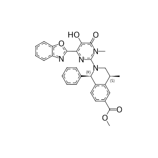 COC(=O)c1ccc2c(c1)[C@H](C)CN(c1nc(-c3nc4ccccc4o3)c(O)c(=O)n1C)[C@@H]2c1ccccc1